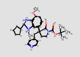 COc1ccc(C2(Cc3ccncc3)CCN(C(=O)OC(C)(C)C)C2=O)c2c1NC(C1CCCC1)N2C